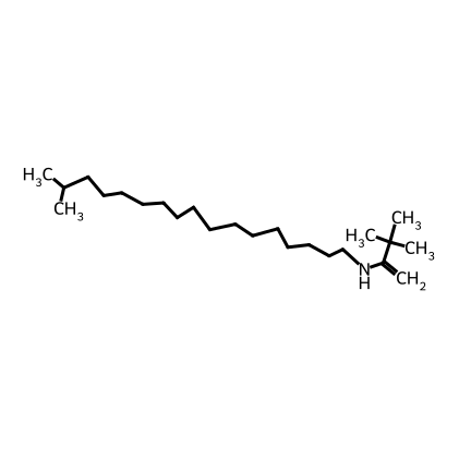 C=C(NCCCCCCCCCCCCCCCC(C)C)C(C)(C)C